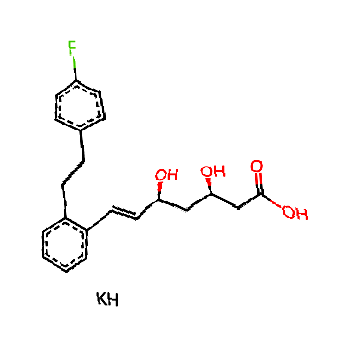 O=C(O)C[C@H](O)C[C@H](O)/C=C/c1ccccc1CCc1ccc(F)cc1.[KH]